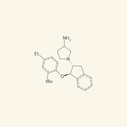 CCc1ccc(O[C@@H]2c3ccccc3C[C@H]2N2CCC(N)C2)c(C(C)(C)C)c1